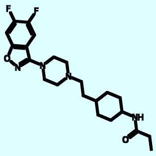 CCC(=O)NC1CCC(CCN2CCN(c3noc4cc(F)c(F)cc34)CC2)CC1